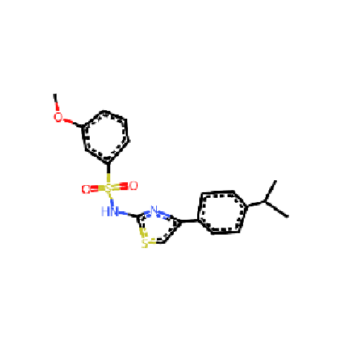 COc1cccc(S(=O)(=O)Nc2nc(-c3ccc(C(C)C)cc3)cs2)c1